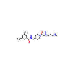 CN(C)CCCNCC(=O)N1CCC(CNC(=O)C2C=C(C(F)(F)F)C=C(C(F)(F)F)C2)CC1